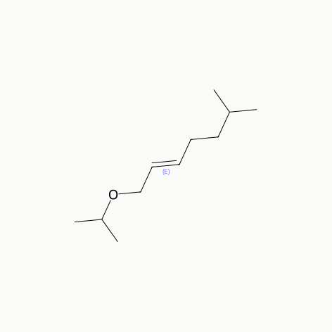 CC(C)CC/C=C/COC(C)C